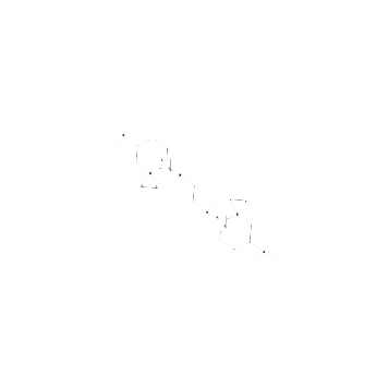 CC(C)(C)C1CCN(C(C)(C)CCC(C)(C)N2CCC(C(C)(C)C)CC23CC3)C2(CC2)C1